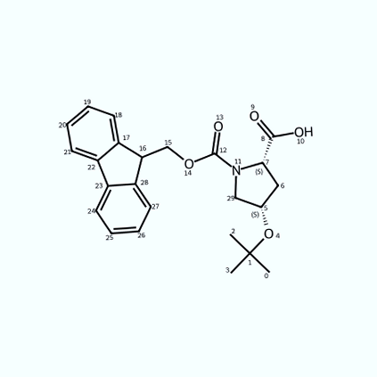 CC(C)(C)O[C@H]1C[C@@H](C(=O)O)N(C(=O)OCC2c3ccccc3-c3ccccc32)C1